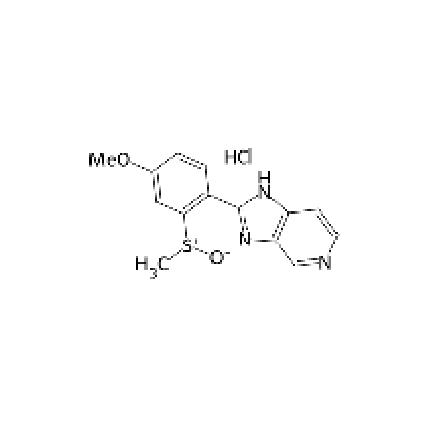 COc1ccc(-c2nc3cnccc3[nH]2)c([S+](C)[O-])c1.Cl